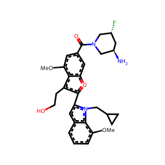 COc1cc(C(=O)N2C[C@H](N)C[C@@H](F)C2)cc2oc(-c3cc4cccc(OC)c4n3CC3CC3)c(CCO)c12